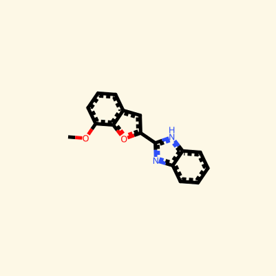 COc1cccc2cc(-c3nc4ccccc4[nH]3)oc12